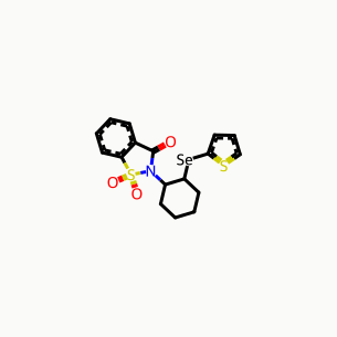 O=C1c2ccccc2S(=O)(=O)N1C1CCCCC1[Se]c1cccs1